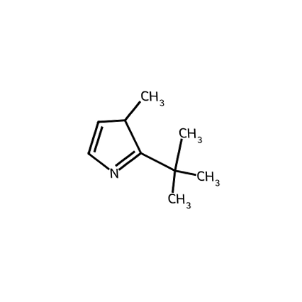 CC1C=CN=C1C(C)(C)C